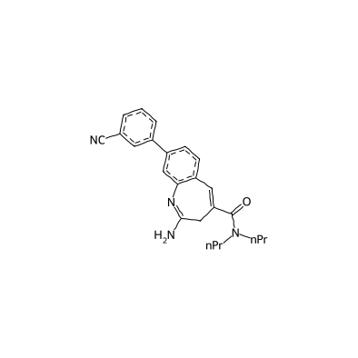 CCCN(CCC)C(=O)C1=Cc2ccc(-c3cccc(C#N)c3)cc2N=C(N)C1